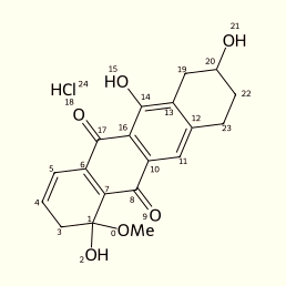 COC1(O)CC=CC2=C1C(=O)c1cc3c(c(O)c1C2=O)CC(O)CC3.Cl